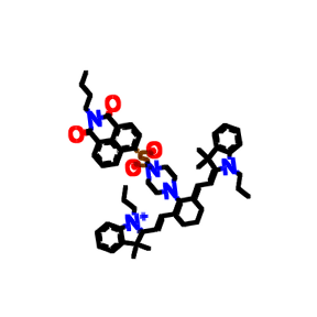 CCCCN1C(=O)c2cccc3c(S(=O)(=O)N4CCN(C5=C(/C=C/C6=[N+](CCC)c7ccccc7C6(C)C)CCC/C5=C\C=C5\N(CCC)c6ccccc6C5(C)C)CC4)ccc(c23)C1=O